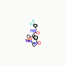 C=CS(=O)(=O)NC[C@H]1CCCN1C(=O)c1ccc(CC(=O)NCc2ccc(F)c(F)c2)cc1